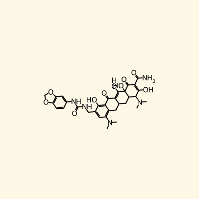 CN(C)c1cc(CNC(=O)Nc2ccc3c(c2)OCO3)c(O)c2c1CC1CC3C(N(C)C)C(O)=C(C(N)=O)C(=O)C3(O)C(O)=C1C2=O